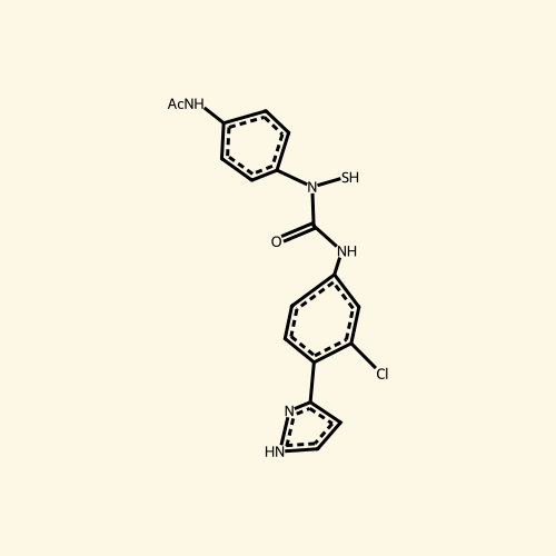 CC(=O)Nc1ccc(N(S)C(=O)Nc2ccc(-c3cc[nH]n3)c(Cl)c2)cc1